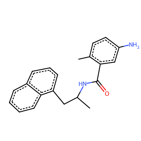 Cc1ccc(N)cc1C(=O)NC(C)Cc1cccc2ccccc12